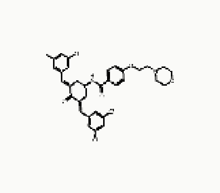 Cc1cc(Cl)cc(/C=C2\CC(NC(=O)c3ccc(OCCN4CCOCC4)cc3)C/C(=C\c3cc(Cl)cc(Cl)c3)C2=O)c1